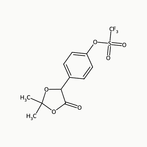 CC1(C)OC(=O)C(c2ccc(OS(=O)(=O)C(F)(F)F)cc2)O1